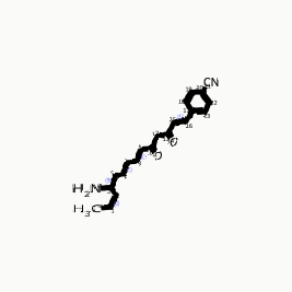 C\C=C/C(N)=C\C=C\C=C\C(=O)CC(=O)/C=C/c1ccc(C#N)cc1